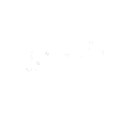 O=C1N(c2ccc(OCc3ccc(Cl)c(Cl)c3)cn2)C(=S)C2CCCCN12